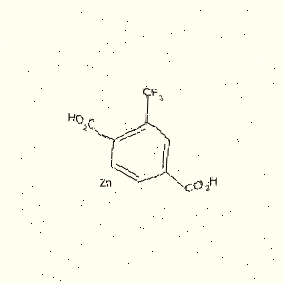 O=C(O)c1ccc(C(=O)O)c(C(F)(F)F)c1.[Zn]